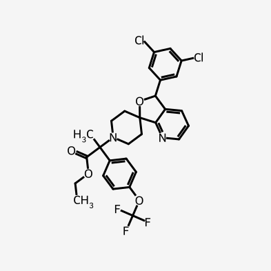 CCOC(=O)C(C)(c1ccc(OC(F)(F)F)cc1)N1CCC2(CC1)OC(c1cc(Cl)cc(Cl)c1)c1cccnc12